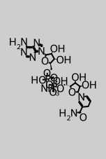 N.NC(=O)C1=CN([C@@H]2O[C@H](COP(=O)(O)OP(=O)(O)OC[C@H]3O[C@@H](n4cnc5c(N)ncnc54)[C@H](O)[C@@H]3O)[C@@H](O)[C@H]2O)C=CC1